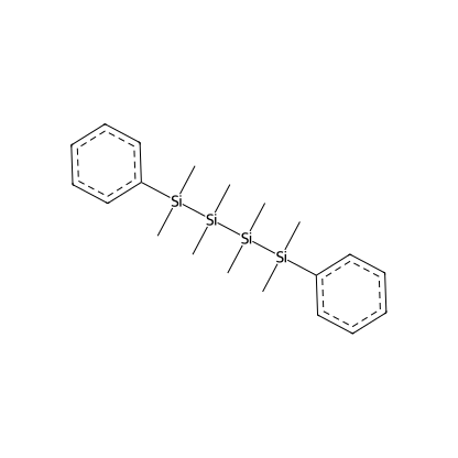 C[Si](C)(c1ccccc1)[Si](C)(C)[Si](C)(C)[Si](C)(C)c1ccccc1